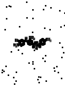 CCc1cc(Nc2ccc(S(=O)(=O)NS(=O)(=O)c3ccc(C)cc3)cc2[N+](=O)[O-])ccc1N